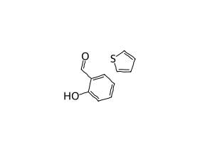 O=Cc1ccccc1O.c1ccsc1